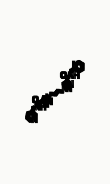 O=C(NCc1cccnc1)c1cn(CCCCn2cc(C(=O)NCc3ccccn3)nn2)nn1